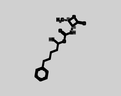 C[C@@H]1OC(=O)[C@@H]1NC(=O)OC(S)CCCCc1ccccc1